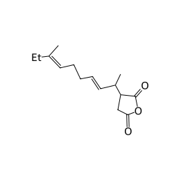 CC/C(C)=C/CC/C=C/C(C)C1CC(=O)OC1=O